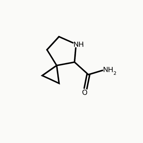 NC(=O)C1NCCC12CC2